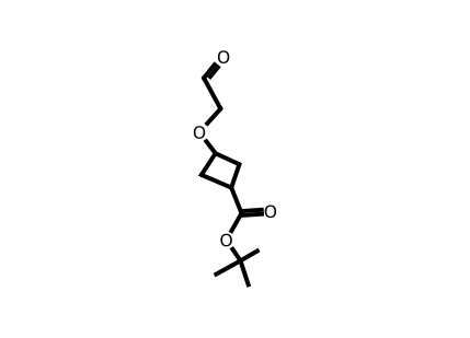 CC(C)(C)OC(=O)C1CC(OCC=O)C1